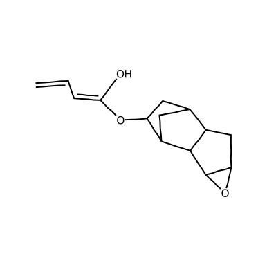 C=C/C=C(\O)OC1CC2CC1C1C2CC2OC21